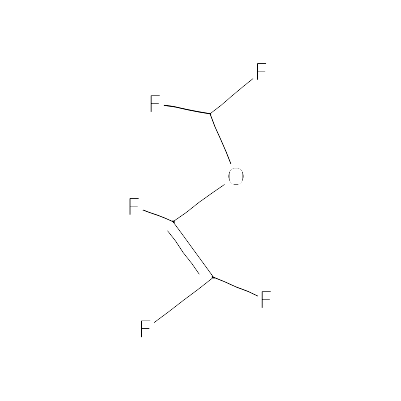 FC(F)=C(F)OC(F)F